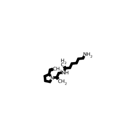 C=CC1CCCN1C(=C)CNC(=C)CCCCCN